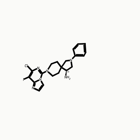 N[C@@H]1CN(c2ccccc2)CC12CCN(c1nc(Cl)c(I)c3nccn13)CC2